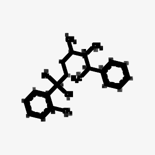 CC(CCC(C#N)(c1ccccc1C(F)(F)F)C(C)C)N(C)C(C)c1ccccc1